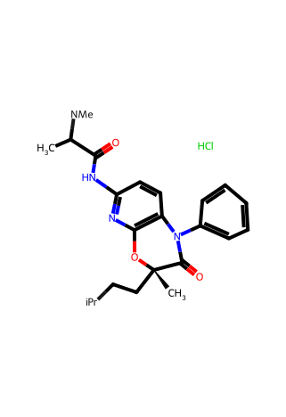 CNC(C)C(=O)Nc1ccc2c(n1)O[C@@](C)(CCC(C)C)C(=O)N2c1ccccc1.Cl